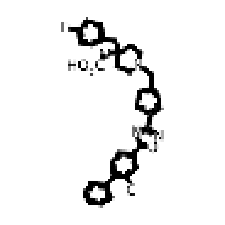 O=C(O)OC1(Cc2ccc(F)cc2)CCN(Cc2ccc(-c3noc(-c4ccc(-c5ccccc5)c(Cl)c4)n3)cc2)CC1